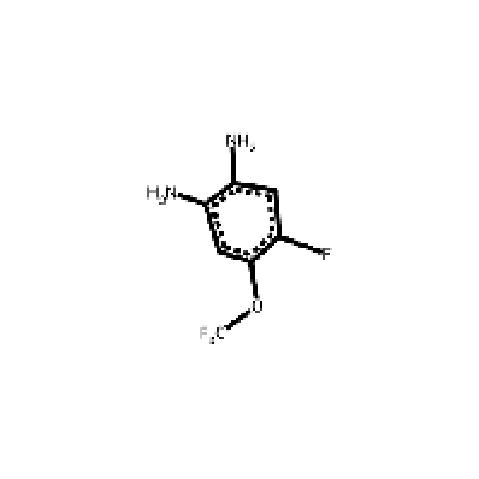 Nc1cc(F)c(OC(F)(F)F)cc1N